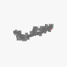 O=C(O)CC(=O)NC(COCCC(=O)NC[C@H]1OC[C@H](Nc2cncc(C(F)(F)F)n2)[C@@H](O)[C@H]1O)COCCC(=O)NC[C@H]1OC[C@H](Nc2cncc(C(F)(F)F)n2)[C@@H](O)[C@H]1O